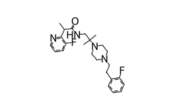 CC(C(=O)NCC(C)(C)N1CCN(CCc2ccccc2F)CC1)c1ncccc1F